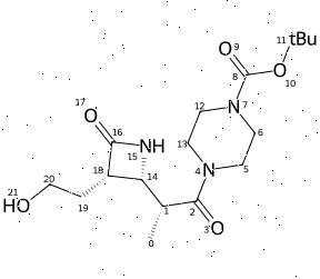 C[C@@H](C(=O)N1CCN(C(=O)OC(C)(C)C)CC1)[C@H]1NC(=O)[C@H]1CCO